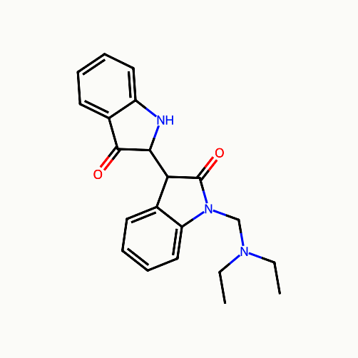 CCN(CC)CN1C(=O)C(C2Nc3ccccc3C2=O)c2ccccc21